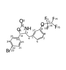 O=C1NC(Cc2cccc(OC(F)(F)C(F)F)c2)C(c2ccc(Br)cc2)O1